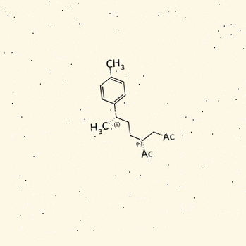 CC(=O)C[C@@H](CC[C@H](C)c1ccc(C)cc1)C(C)=O